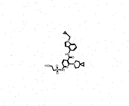 O=C(Nc1cccc2c1ccn2CC1CC1)c1ccc(NS(=O)(=O)CCO)nc1N1CCC2(CC1)CC2